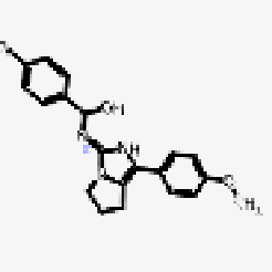 COc1ccc(-c2[nH]/c(=N\C(O)c3ccc(Cl)cc3)n3c2CCC3)cc1